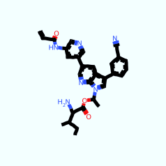 C=CC(=O)Nc1cncc(-c2cnc3c(c2)c(-c2cccc(C#N)c2)cn3C(C)OC(=O)C(N)C(C)CC)c1